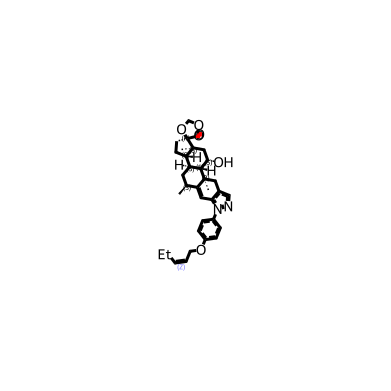 CC/C=C\COc1ccc(-n2ncc3c2C=C2[C@@H](C)C[C@@H]4[C@H]([C@@H](O)C[C@@]5(C)[C@H]4CC[C@@]54OCOC45COCO5)[C@@]2(C)C3)cc1